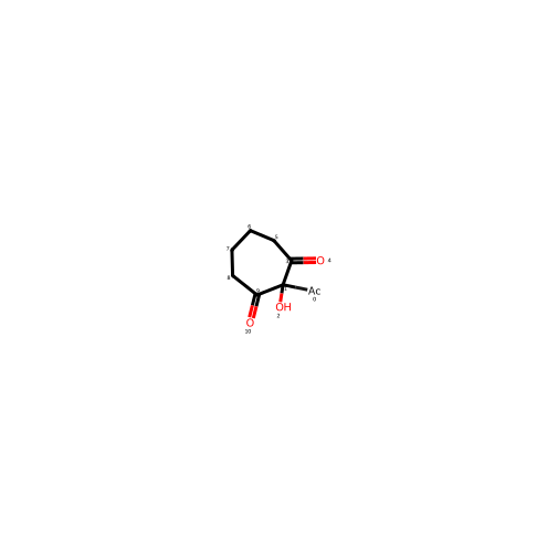 CC(=O)C1(O)C(=O)CCCCC1=O